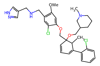 COc1cc(OCC2(OCC3CCCN(C)C3)C=CC=C(c3ccccc3Cl)C2C)c(Cl)cc1CNCc1cn[nH]c1